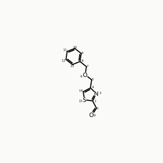 O=Cc1nc(COCc2ccccc2)cs1